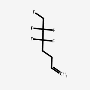 C=CCCC(F)(F)C(F)(F)CF